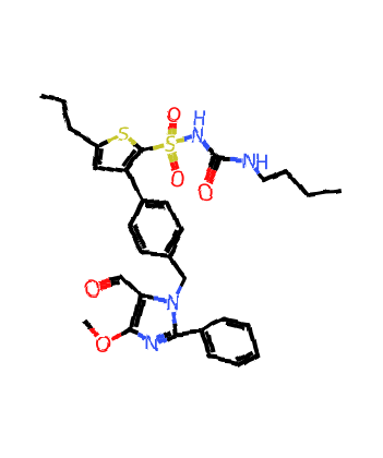 CCCCNC(=O)NS(=O)(=O)c1sc(CCC)cc1-c1ccc(Cn2c(-c3ccccc3)nc(OC)c2C=O)cc1